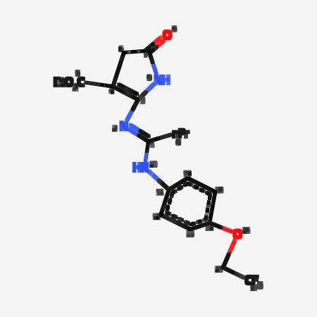 CCC/C(=N\C1=C(C(=O)OCC)CC(=O)N1)Nc1ccc(OCC(F)(F)F)cc1